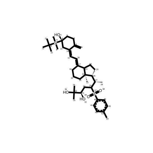 C=C1CC[C@@](O)([Si](C)(C)C(C)(C)C)C/C1=C/C=C1CCC[C@@]2(C)C1CC[C@@H]2[C@H](C)C(C[C@@H](O)C(C)(C)O)S(=O)(=O)c1ccc(C)cc1